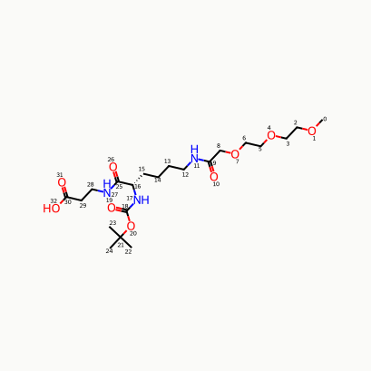 COCCOCCOCC(=O)NCCCC[C@H](NC(=O)OC(C)(C)C)C(=O)NCCC(=O)O